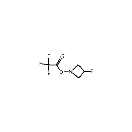 O=C(ON1CC(F)C1)C(F)(F)F